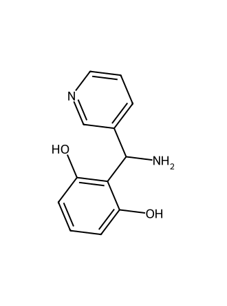 NC(c1cccnc1)c1c(O)cccc1O